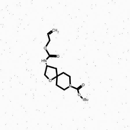 C=CCOC(=O)N[C@H]1COC2(CCN(C(=O)OC(C)(C)C)CC2)C1